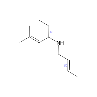 C/C=C/CN/C(C=C(C)C)=C/C